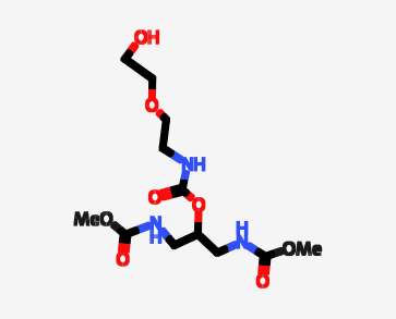 COC(=O)NCC(CNC(=O)OC)OC(=O)NCCOCCO